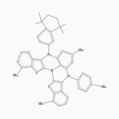 CC(C)(C)c1ccc(N2c3cc(C(C)(C)C)cc4c3B(c3sc5c(C(C)(C)C)cccc5c32)c2sc3c(C(C)(C)C)cccc3c2N4c2ccc3c(c2)C(C)(C)CCC3(C)C)cc1